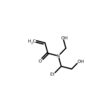 C=CC(=O)N(CO)C(CC)CO